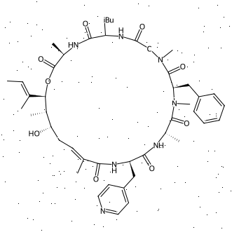 C/C=C(\C)[C@H]1OC(=O)[C@@H](C)NC(=O)C(C(C)CC)NC(=O)CN(C)C(=O)[C@@H](Cc2ccccc2)N(C)C(=O)[C@H](C)NC(=O)[C@@H](Cc2ccncc2)NC(=O)/C(C)=C/C[C@H](O)[C@@H]1C